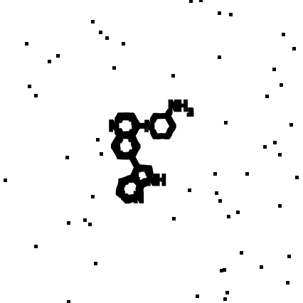 NC1CCCN(c2ccnc3ccc(-c4c[nH]c5ncccc45)cc23)C1